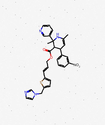 CC1=CC(c2cccc([N+](=O)[O-])c2)C(C(=O)OCC=Cc2ccc(Cn3ccnc3)s2)C(C)(c2cccnc2)N1